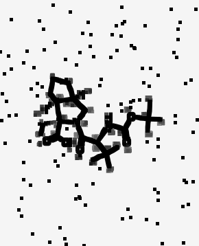 [CH2]C[C@]1(C(=O)O)[C@H]2CCC[C@H]2CN1C(=O)[C@@H](NC(=O)OC(C)(C)C)C(C)(C)C